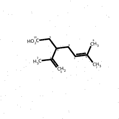 C=C(C)C(CC=C(C)C)CC(=O)O